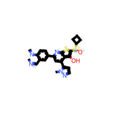 C=Nc1ccc(-c2cc(-c3ccnn3C)c3c(O)c([S@+]([O-])C4CCC4)sc3n2)cc1/C=N\C